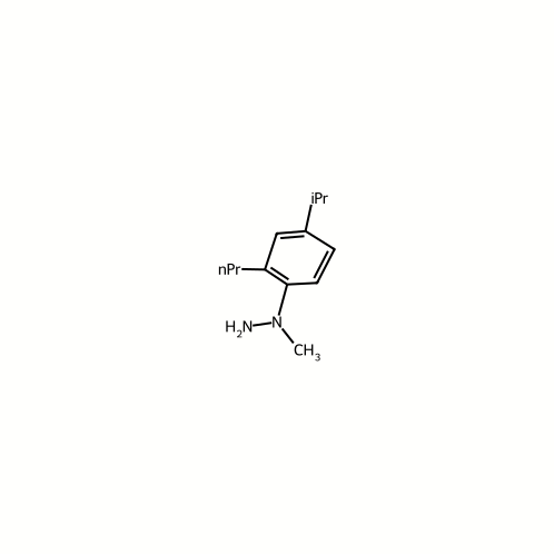 CCCc1cc(C(C)C)ccc1N(C)N